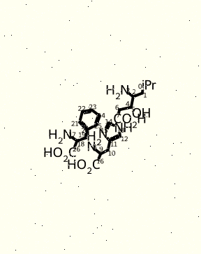 CC(C)CC(N)C(O)CC(=O)O.NC(Cc1c[nH]cn1)C(=O)O.NC(Cc1ccccc1)C(=O)O